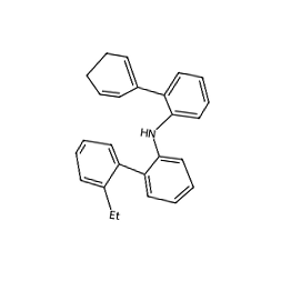 CCc1ccccc1-c1ccccc1Nc1ccccc1C1=CCCC=C1